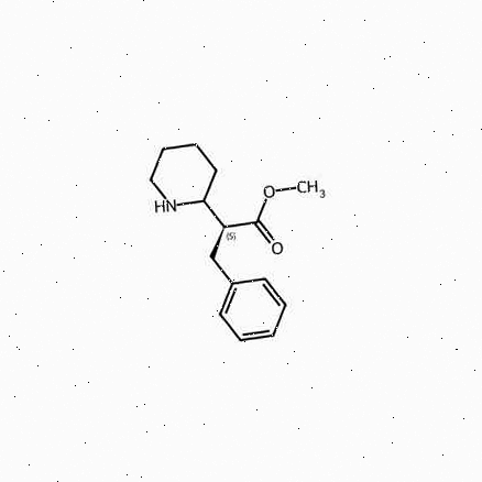 COC(=O)[C@@H](Cc1ccccc1)C1CCCCN1